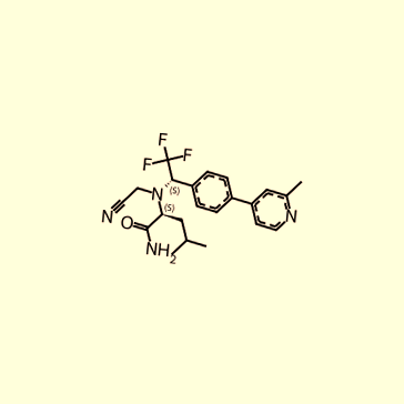 Cc1cc(-c2ccc([C@H](N(CC#N)[C@@H](CC(C)C)C(N)=O)C(F)(F)F)cc2)ccn1